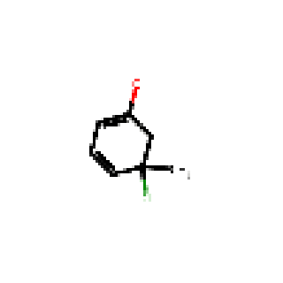 CC1(Cl)C=CC=C(O)C1